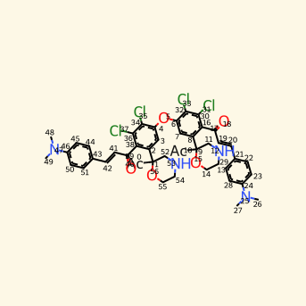 CC(=O)C1(c2cc(Oc3cc(C4(C(C)=O)CNCCO4)c(C(=O)C=Cc4ccc(N(C)C)cc4)c(Cl)c3Cl)c(Cl)c(Cl)c2C(=O)C=Cc2ccc(N(C)C)cc2)CNCCO1